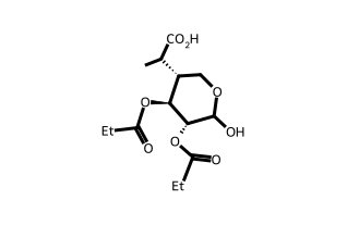 CCC(=O)O[C@H]1[C@H](C(C)C(=O)O)COC(O)[C@@H]1OC(=O)CC